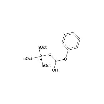 CCCCCCCC[PH](CCCCCCCC)(CCCCCCCC)OP(O)Oc1ccccc1